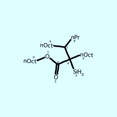 CCCCCCCCOC(=O)C([SiH3])(CCCCCCCC)C(CCC)CCCCCCCC